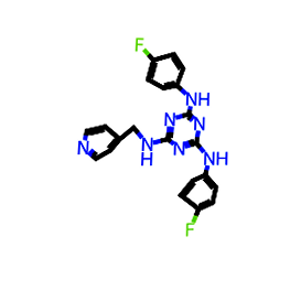 Fc1ccc(Nc2nc(NCc3ccncc3)nc(Nc3ccc(F)cc3)n2)cc1